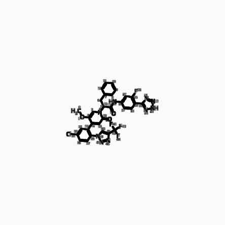 COc1cn([C@@H](Cc2ccccc2)C(=O)Nc2ccc(-c3nn[nH]n3)c(F)c2)c(=O)cc1-c1cc(Cl)ccc1-n1cc(C(F)(F)F)nn1